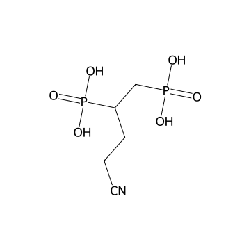 N#CCCC(CP(=O)(O)O)P(=O)(O)O